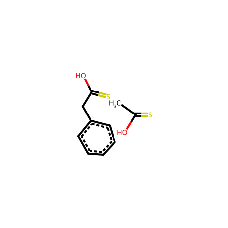 CC(O)=S.OC(=S)Cc1ccccc1